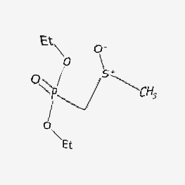 CCOP(=O)(C[S+](C)[O-])OCC